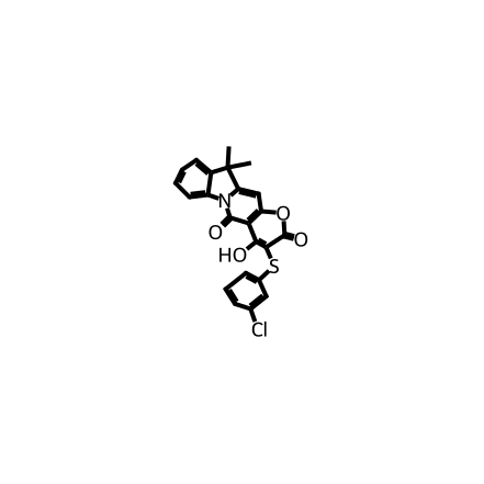 CC1(C)c2ccccc2-n2c1cc1oc(=O)c(Sc3cccc(Cl)c3)c(O)c1c2=O